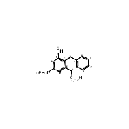 CCCCCc1cc(O)c(Cc2ccccc2)c(CC(=O)O)c1